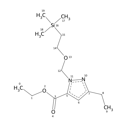 CCOC(=O)c1cc(CC)nn1COCC[Si](C)(C)C